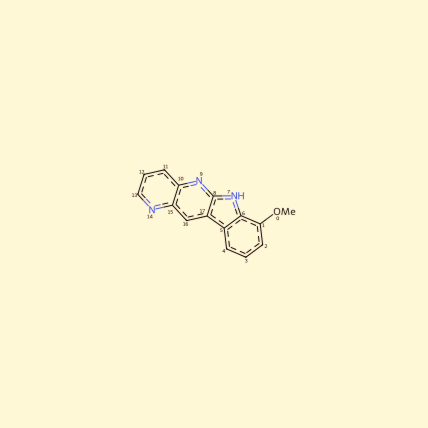 COc1cccc2c1[nH]c1nc3cccnc3cc12